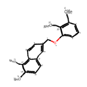 COc1cccc(OCc2ccc3c(OC)c(OC)ccc3c2)c1OC